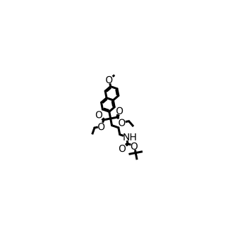 CCOC(=O)C(CCCNC(=O)OC(C)(C)C)(C(=O)OCC)c1ccc2cc(OC)ccc2c1